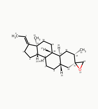 CC=C1CC[C@H]2[C@@H]3CC[C@H]4C[C@@]5(CO5)[C@@H](C)C[C@@H]4[C@H]3CC[C@]12C